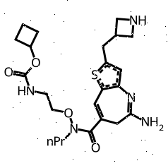 CCCN(OCCNC(=O)OC1CCC1)C(=O)C1=Cc2sc(CC3CNC3)cc2N=C(N)C1